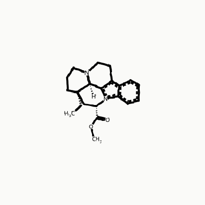 CC[C@@]12CCCN3CCc4c(n(c5ccccc45)[C@H](C(=O)OC)C1)[C@H]32